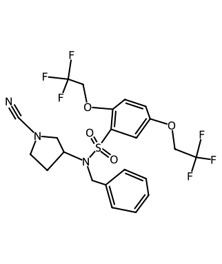 N#CN1CCC(N(Cc2ccccc2)S(=O)(=O)c2cc(OCC(F)(F)F)ccc2OCC(F)(F)F)C1